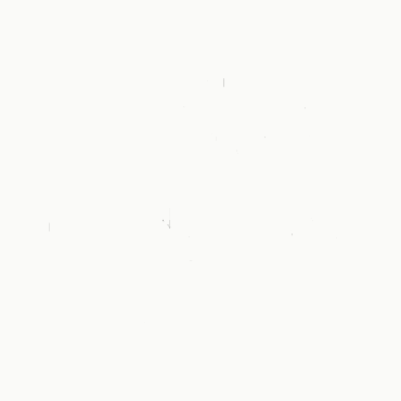 CCCC(NC(=O)c1ccc(-c2cc(Cl)ccc2C(=O)O)c(C(=O)OC(C)(C)C)c1)c1ccccc1